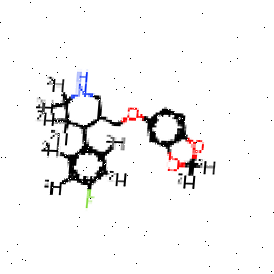 [2H]c1c([2H])c(C2[C@H](COc3ccc4c(c3)OC([2H])([2H])O4)CNC([2H])([2H])C2([2H])[2H])c([2H])c([2H])c1F